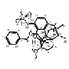 CO[C@]12CC[C@@]3(C[C@@H]1COCc1ccccc1)[C@H]1Cc4ccc(NS(C)(=O)=O)c5c4[C@@]3(CCN1C)[C@H]2O5